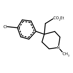 CCOC(=O)CC1(c2ccc(Cl)cc2)CCN(C)CC1